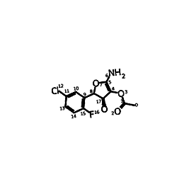 CC(=O)OC1=C(N)OC(c2cc(Cl)ccc2F)C1=O